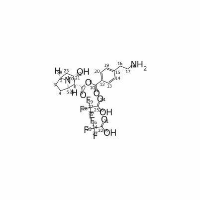 CN1[C@H]2CC[C@@H]1[C@@H](C(=O)OC(=O)c1ccc(CCN)cc1)[C@@H](O)C2.O=C(O)C(F)(F)F.O=C(O)C(F)(F)F